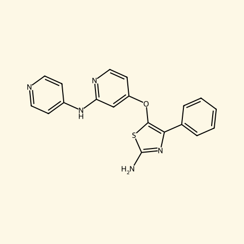 Nc1nc(-c2ccccc2)c(Oc2ccnc(Nc3ccncc3)c2)s1